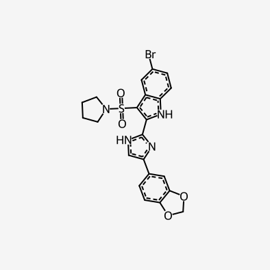 O=S(=O)(c1c(-c2nc(-c3ccc4c(c3)OCO4)c[nH]2)[nH]c2ccc(Br)cc12)N1CCCC1